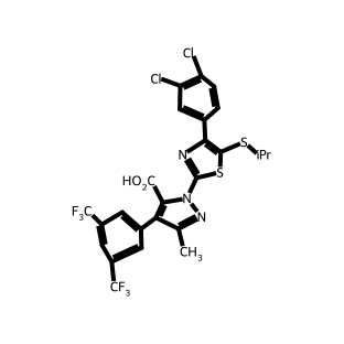 Cc1nn(-c2nc(-c3ccc(Cl)c(Cl)c3)c(SC(C)C)s2)c(C(=O)O)c1-c1cc(C(F)(F)F)cc(C(F)(F)F)c1